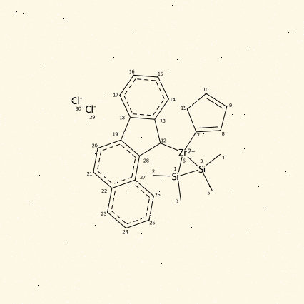 C[Si]1(C)[Si](C)(C)[Zr+2]1([C]1=CC=CC1)[CH]1c2ccccc2-c2ccc3ccccc3c21.[Cl-].[Cl-]